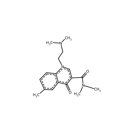 Cc1ccc2c(c1)c(=O)c(C(=O)N(C)C)cn2CCN(C)C